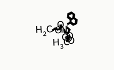 C=CCOC(=O)N1C[C@H](OS(C)(=O)=O)C[C@H]1Cc1cccc2ccccc12